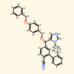 Cc1ccccc1-c1cc(C(OCc2ccc(OCc3ccccc3)cc2)c2cncn2C)ccc1C#N